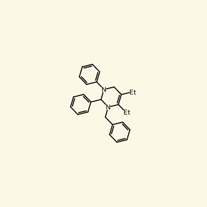 CCC1=C(CC)N(Cc2ccccc2)C(c2ccccc2)N(c2ccccc2)C1